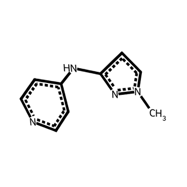 Cn1ccc(Nc2ccncc2)n1